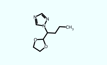 CCCC(C1OCCO1)n1cncn1